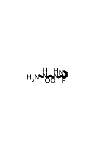 NCCNC(=O)CC(=O)NCc1ncccc1F